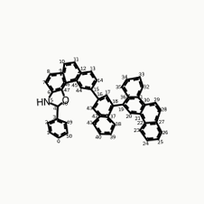 c1ccc(C2Nc3ccc4ccc5ccc(-c6cc(-c7cc8c9ccccc9ccc8c8ccccc78)c7ccccc7c6)cc5c4c3O2)cc1